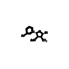 CC[C@H]1O[C@@H]([n+]2cccc(C(C)=O)c2)[C@H](OC(C)=O)[C@@H]1C